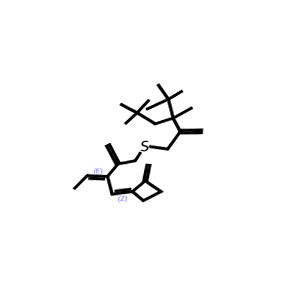 C=C1CC/C1=C/C(=C\C)C(=C)CSCC(=C)C(C)(CC(C)(C)C)C(C)(C)C